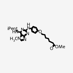 CCCC(C)Nc1nc(Nc2ccc(OCCCCCCC(=O)OC)cc2)nc2ncn(C)c12